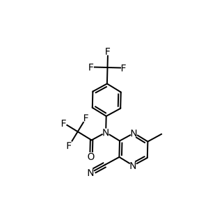 Cc1cnc(C#N)c(N(C(=O)C(F)(F)F)c2ccc(C(F)(F)F)cc2)n1